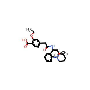 CCOc1cc(CC(=O)N/C(=C/C(C)C)c2ccccc2N2CCCCC2)ccc1C(=O)O